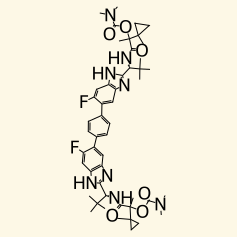 CN(C)C(=O)OC(C)(C(=O)N[C@H](c1nc2cc(-c3ccc(-c4cc5nc([C@@H](NC(=O)C(C)(OC(=O)N(C)C)C6(C)CC6)C(C)(C)C)[nH]c5cc4F)cc3)c(F)cc2[nH]1)C(C)(C)C)C1(C)CC1